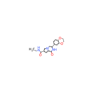 CCNC(=O)c1cc2c(=O)[nH]c(-c3ccc4c(c3)OCCO4)cn2c1